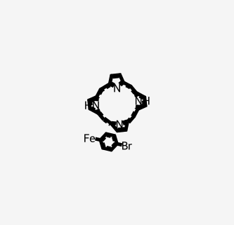 C1=Cc2cc3ccc(cc4nc(cc5ccc(cc1n2)[nH]5)C=C4)[nH]3.[Fe][c]1ccc(Br)cc1